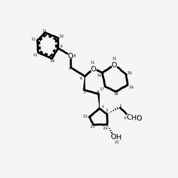 O=CC[C@H]1[C@H](CC[C@@H](COc2ccccc2)OC2CCCCO2)CC[C@H]1O